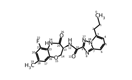 CCCc1cccc2nc(C(=O)N[C@H]3COc4cc(C)cc(F)c4NC3=O)nn12